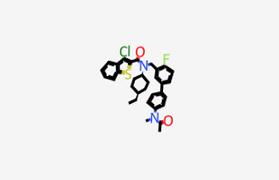 CC[C@H]1CC[C@H](N(Cc2cc(-c3ccc(N(C)C(C)=O)cc3)ccc2F)C(=O)c2sc3ccccc3c2Cl)CC1